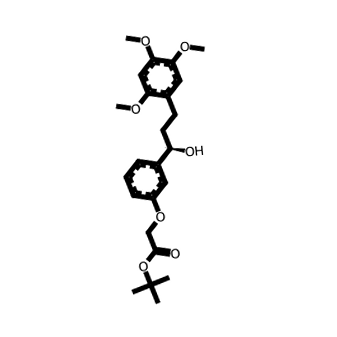 COc1cc(OC)c(OC)cc1CC[C@@H](O)c1cccc(OCC(=O)OC(C)(C)C)c1